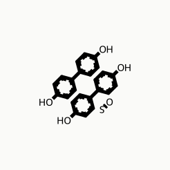 O=S.Oc1ccc(-c2ccc(O)cc2)cc1.Oc1ccc(-c2ccc(O)cc2)cc1